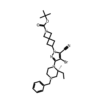 CC[C@@]1(C)CN(Cc2ccccc2)CCN1c1nn(C2CC3(C2)CN(C(=O)OC(C)(C)C)C3)c(C#N)c1Br